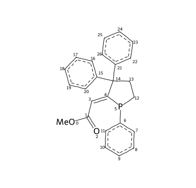 COC(=O)/C=C1\P(c2ccccc2)CCC1(c1ccccc1)c1ccccc1